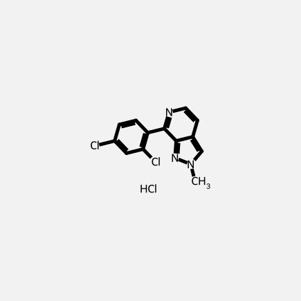 Cl.Cn1cc2ccnc(-c3ccc(Cl)cc3Cl)c2n1